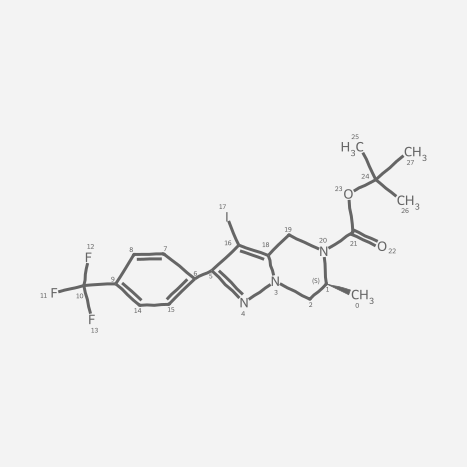 C[C@H]1Cn2nc(-c3ccc(C(F)(F)F)cc3)c(I)c2CN1C(=O)OC(C)(C)C